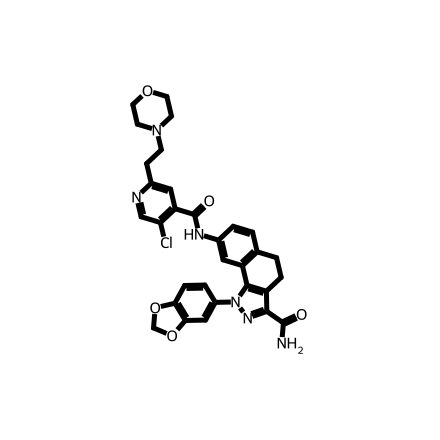 NC(=O)c1nn(-c2ccc3c(c2)OCO3)c2c1CCc1ccc(NC(=O)c3cc(CCN4CCOCC4)ncc3Cl)cc1-2